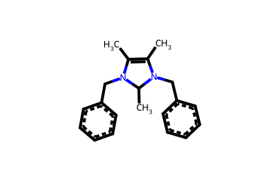 CC1=C(C)N(Cc2ccccc2)C(C)N1Cc1ccccc1